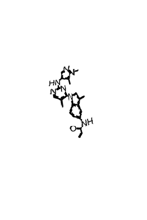 C=CC(=O)Nc1ccc2c(c1)c(C)cn2-c1nc(Nc2cnn(C)c2C)ncc1C